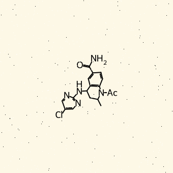 CC(=O)N1c2ccc(C(N)=O)cc2C(Nc2ncc(Cl)cn2)CC1C